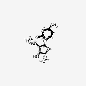 Nc1ccn([C@@H]2O[C@H](CO)C(O)C2O)c(=S)n1.O.O